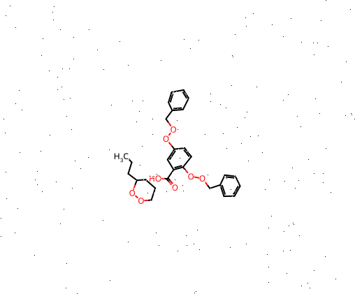 CCCC1CCCOO1.O=C(O)c1cc(OOCc2ccccc2)ccc1OOCc1ccccc1